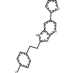 Clc1ccc(CCc2nc3ncc(-c4ccco4)cc3[nH]2)cc1